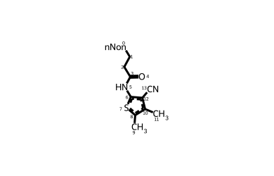 CCCCCCCCCCCC(=O)Nc1sc(C)c(C)c1C#N